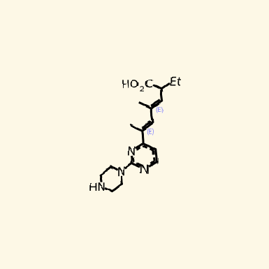 CCC(/C=C(C)/C=C(\C)c1ccnc(N2CCNCC2)n1)C(=O)O